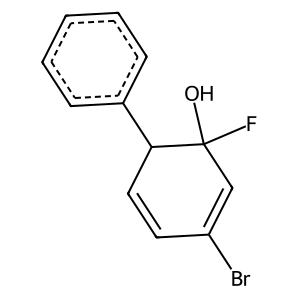 OC1(F)C=C(Br)C=CC1c1ccccc1